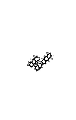 c1ccc2ncccc2c1.c1cnc2cc3ccncc3cc2c1.c1cnc2cc3cnccc3cc2c1